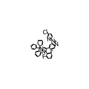 Fc1cccc(F)c1-c1nn(C(c2ccccc2)(c2ccccc2)C2C=CC=CC2)cc1-c1ccc2ncn(-c3ccc(Cl)cn3)c2c1